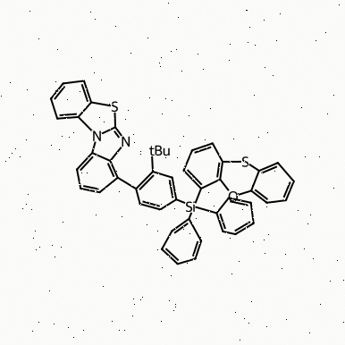 CC(C)(C)c1cc([Si](c2ccccc2)(c2ccccc2)c2cccc3c2Oc2ccccc2S3)ccc1-c1cccc2c1nc1sc3ccccc3n12